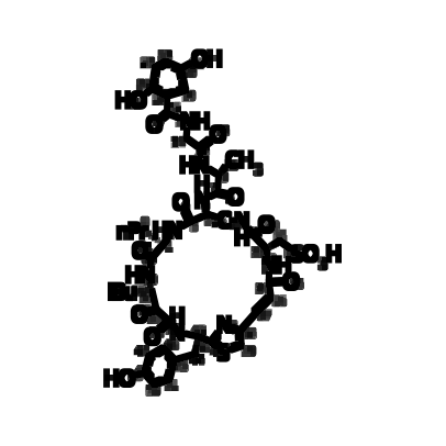 CCC[C@@H]1NC(=O)[C@@H](NC(=O)[C@H](C)NC(=O)CNC(=O)c2cc(O)ccc2O)CNC(=O)[C@@H](CS(=O)(=O)O)NC(=O)/C=C/c2csc(n2)[C@@H](Cc2ccc(O)cc2)NC(=O)C(=O)[C@H]([C@@H](C)CC)NC1=O